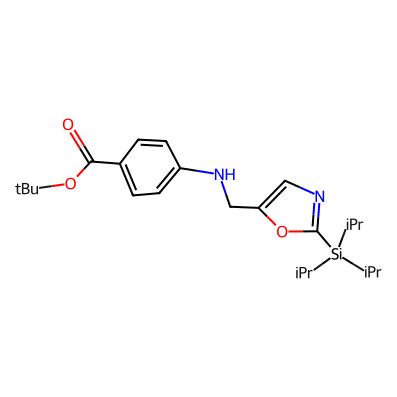 CC(C)[Si](c1ncc(CNc2ccc(C(=O)OC(C)(C)C)cc2)o1)(C(C)C)C(C)C